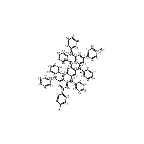 Cc1ccc(-c2cc3c4c(c2)N(c2ccccc2)c2cc5c(cc2B4c2ccccc2N3c2ccccc2)B2c3ccccc3N(c3ccccc3)c3cc(-c4ccc(C)cc4)cc(c32)N5c2ccccc2)cc1